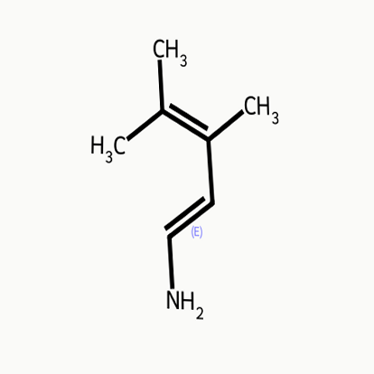 CC(C)=C(C)/C=C/N